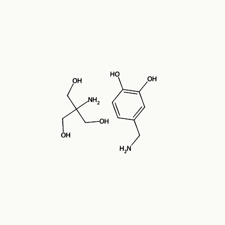 NC(CO)(CO)CO.NCc1ccc(O)c(O)c1